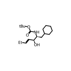 CC/C=C/[C@H](O)[C@H](CC1CCCCC1)NC(=O)OC(C)(C)C